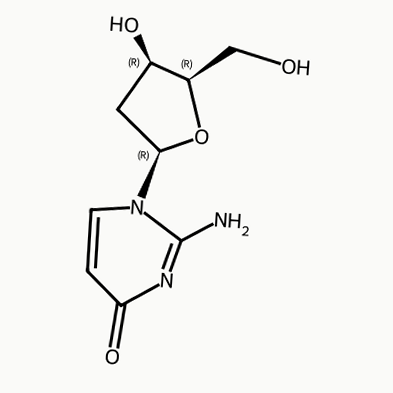 Nc1nc(=O)ccn1[C@H]1C[C@@H](O)[C@@H](CO)O1